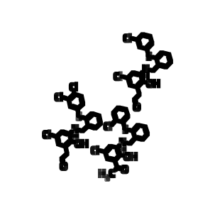 CC(=O)c1cc(Cl)cc(NCc2ccccc2Sc2ccccc2Cl)c1O.O=CCc1cc(Cl)cc(NCc2ccccc2Sc2ccc(Cl)c(Cl)c2)c1O.O=CCc1cc(Cl)cc(NCc2ccccc2Sc2cccc(Cl)c2)c1O